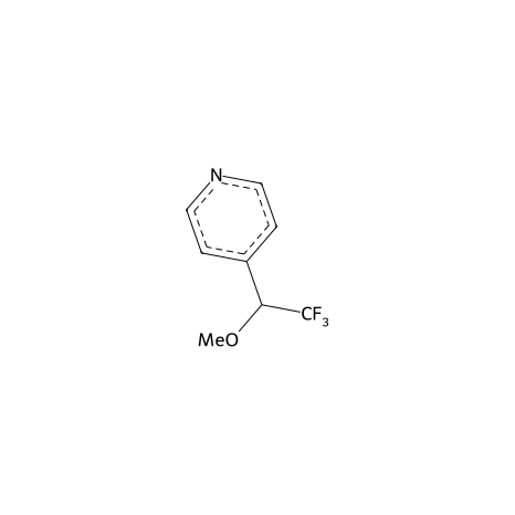 COC(c1ccncc1)C(F)(F)F